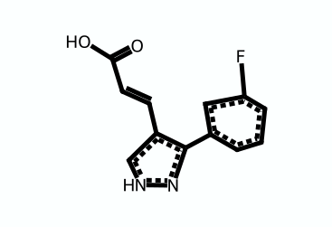 O=C(O)/C=C/c1c[nH]nc1-c1cccc(F)c1